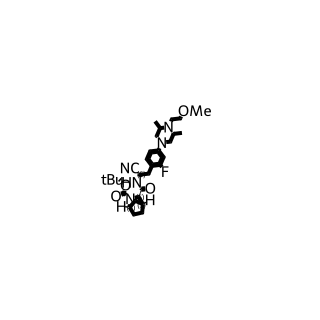 COCCN1C(C)CN(c2ccc(C[C@@H](C#N)NC(=O)[C@@H]3[C@H]4CC[C@H](C4)N3C(=O)OC(C)(C)C)c(F)c2)CC1C